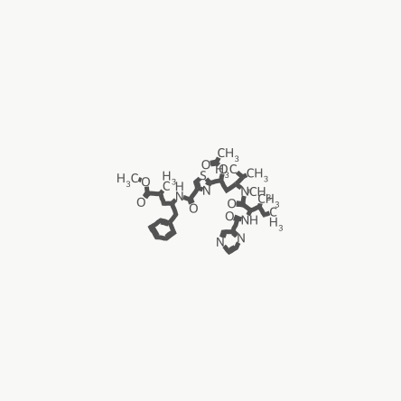 CCC(C)C(NC(=O)c1cnccn1)C(=O)N(C)C(CC(OC(C)=O)c1nc(C(=O)NC(Cc2ccccc2)CC(C)C(=O)OC)cs1)C(C)C